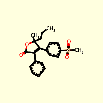 CCCC1(C)OC(=O)C(c2ccccc2)=C1c1ccc(S(C)(=O)=O)cc1